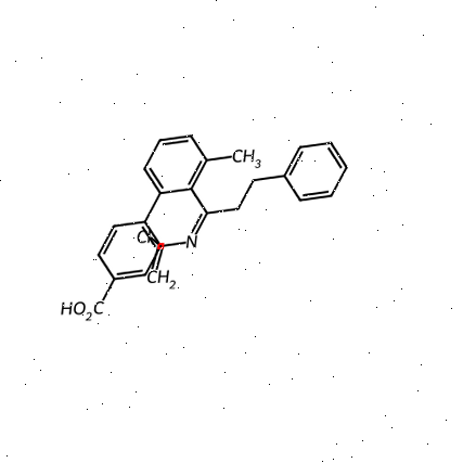 C=C(Cl)/N=C(/CCc1ccccc1)c1c(C)cccc1-c1ccc(C(=O)O)cc1